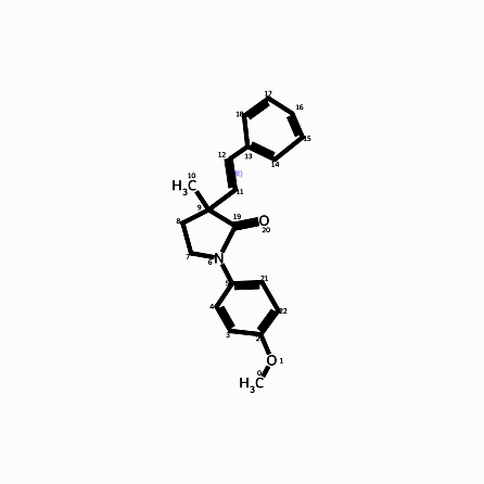 COc1ccc(N2CCC(C)(/C=C/c3ccccc3)C2=O)cc1